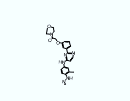 C=NNc1ccc(Nc2ccnc(-c3cccc(OCC(=O)N4CCOCC4)c3)n2)cc1C